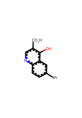 CC(C)c1ccc2ncc(C(=O)O)c(O)c2c1